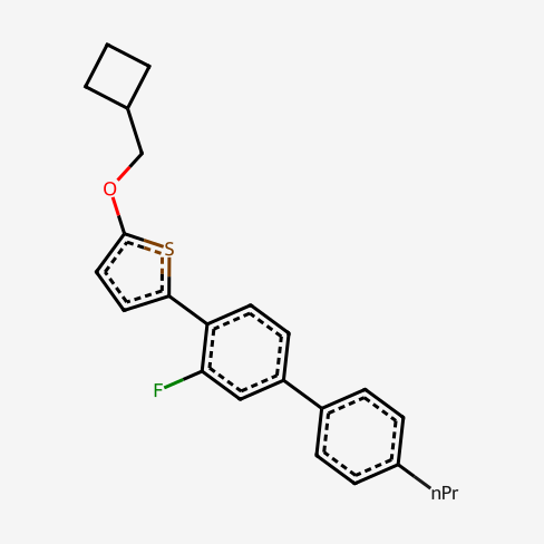 CCCc1ccc(-c2ccc(-c3ccc(OCC4CCC4)s3)c(F)c2)cc1